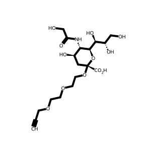 C#CCOCCOCCO[C@]1(C(=O)O)C[C@@H](O)[C@H](NC(=O)CO)[C@@H]([C@@H](O)[C@@H](O)CO)O1